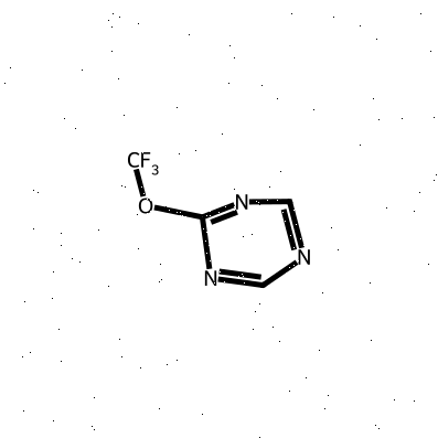 FC(F)(F)Oc1ncncn1